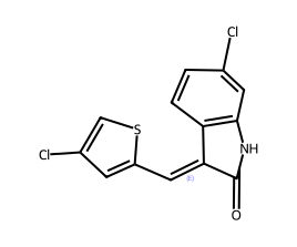 O=C1Nc2cc(Cl)ccc2/C1=C\c1cc(Cl)cs1